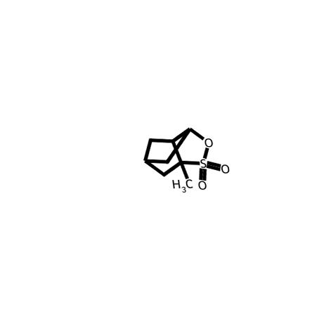 CC12CC3CC(OS1(=O)=O)C2C3